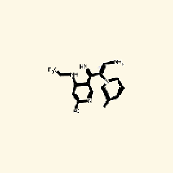 CC(=O)c1cc(NCC(F)(F)F)c(C(=N)/C(=C/N)N2C=C(C)C=CC2)cn1